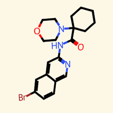 O=C(Nc1cc2cc(Br)ccc2cn1)C1(N2CCOCC2)CCCCC1